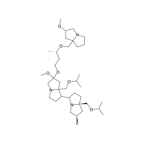 COC1CN2CCCC2(CO[C@@H](C)CCOC2(OC)CN3CCC(C4CC[C@]5(COC(C)C)C[C@@H](F)CN45)C3(COC(C)C)C2)C1